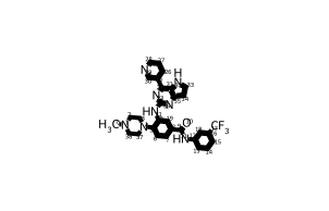 CN1CCN(c2ccc(C(=O)Nc3cccc(C(F)(F)F)c3)cc2Nc2nc(-c3cccnc3)c3[nH]ccc3n2)CC1